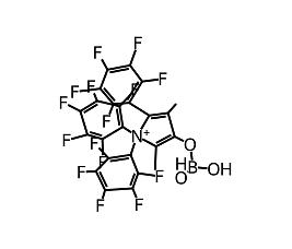 CC1=C(c2c(F)c(F)c(F)c(F)c2F)[N+](c2c(F)c(F)c(F)c(F)c2F)(c2c(F)c(F)c(F)c(F)c2F)C(C)=C1OB(O)O